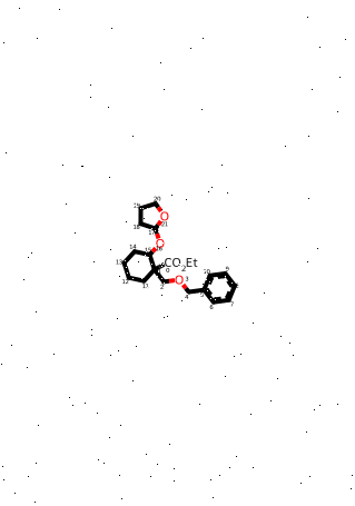 CCOC(=O)C1(COCc2ccccc2)CCCCC1OC1CCCO1